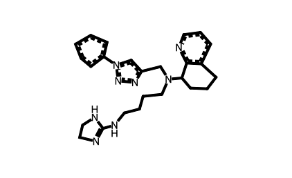 c1ccc(-n2cc(CN(CCCCNC3=NCCN3)C3CCCc4cccnc43)nn2)cc1